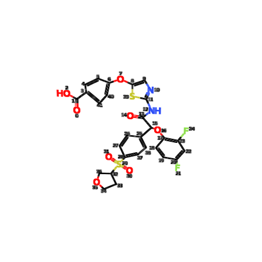 O=C(O)c1ccc(Oc2cnc(NC(=O)C(Oc3ccc(F)cc3F)c3ccc(S(=O)(=O)C4CCOC4)cc3)s2)cc1